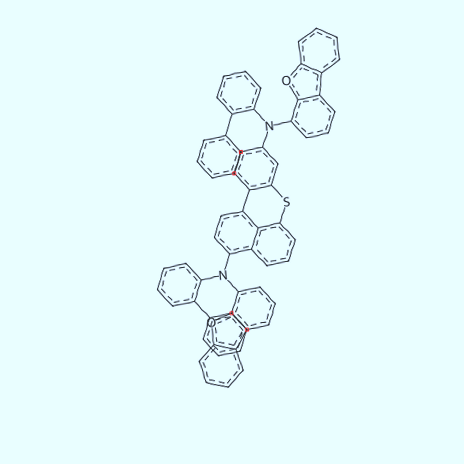 c1ccc(-c2ccccc2N(c2ccc3c(c2)Sc2cccc4c(N(c5ccccc5-c5ccccc5)c5cccc6c5oc5ccccc56)ccc-3c24)c2cccc3c2oc2ccccc23)cc1